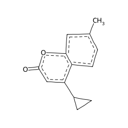 Cc1ccc2c(C3CC3)cc(=O)oc2c1